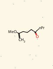 C=C(CCCC(=O)CCC)OC